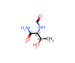 C[C@@H](O)[C@H](NC=O)C(N)=O